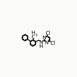 Cc1c(CNc2nc(Cl)cc(Cl)n2)cccc1-c1ccccc1